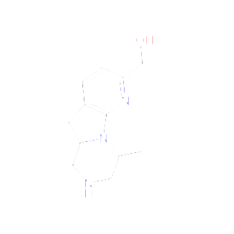 CC1CNCC2Cc3ccc([C@@H](C)O)nc3N12